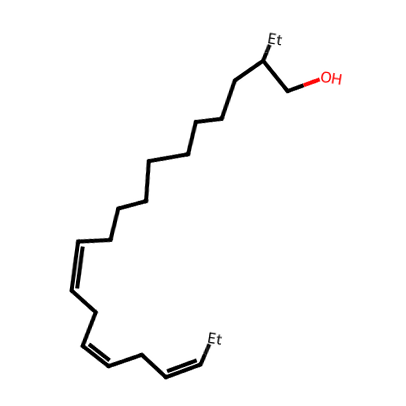 CC/C=C\C/C=C\C/C=C\CCCCCCCCC(CC)CO